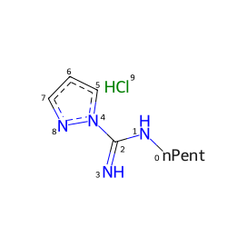 CCCCCNC(=N)n1cccn1.Cl